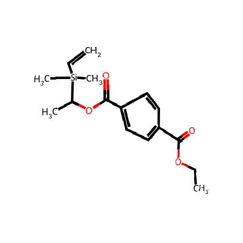 C=C[Si](C)(C)C(C)OC(=O)c1ccc(C(=O)OCC)cc1